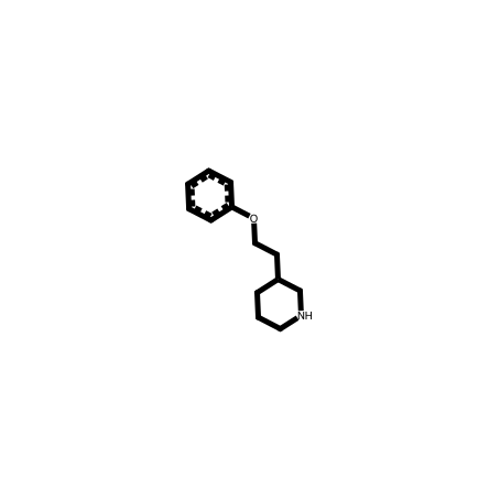 c1ccc(OCCC2CCCNC2)cc1